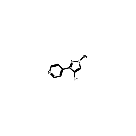 CC(C)c1cn(C(C)C)nc1-c1ccncc1